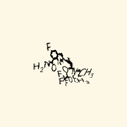 CCN(CC)C(Cn1cc2cc(F)cc(C(N)=O)c2n1)OC(=O)C(F)(F)F